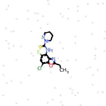 CCc1nc2c(NC(=S)N3CCCC=N3)c(F)cc(Cl)c2o1